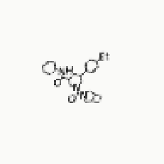 CCc1ccc(C2CC(C(=O)Nc3ccccc3)CN(C(=O)N3CC4CCC4C3)C2)cc1